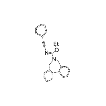 CCO/C(=N\C#Cc1ccccc1)N1Cc2ccccc2-c2ccccc2C1